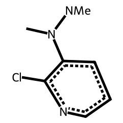 CNN(C)c1cccnc1Cl